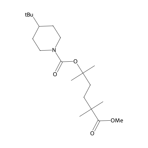 COC(=O)C(C)(C)CCC(C)(C)OC(=O)N1CCC(C(C)(C)C)CC1